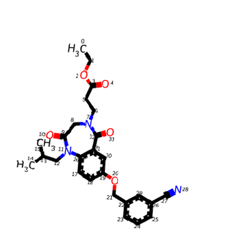 CCOC(=O)CCN1CC(=O)N(CC(C)C)c2ccc(OCc3cccc(C#N)c3)cc2C1=O